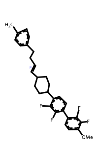 COc1ccc(-c2ccc(C3CCC(/C=C/CCc4ccc(C)cc4)CC3)c(F)c2F)c(F)c1F